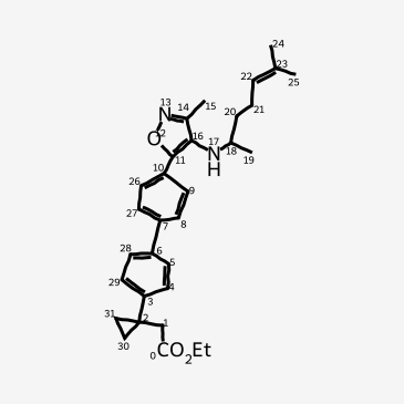 CCOC(=O)CC1(c2ccc(-c3ccc(-c4onc(C)c4NC(C)CCC=C(C)C)cc3)cc2)CC1